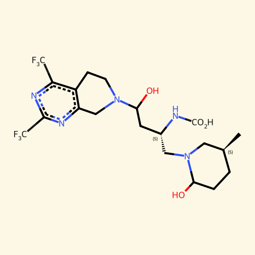 C[C@H]1CCC(O)N(C[C@H](CC(O)N2CCc3c(nc(C(F)(F)F)nc3C(F)(F)F)C2)NC(=O)O)C1